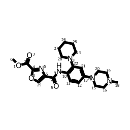 COC(=O)c1nc(C(=O)Nc2ccc(N3CCN(C)CC3)cc2N2CCCCC2)co1